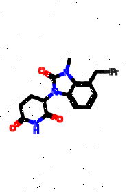 CC(C)Cc1cccc2c1n(C)c(=O)n2C1CCC(=O)NC1=O